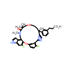 CN1Cc2c(c(F)cc3[nH]ccc23)Oc2ccc(F)c(c2)-c2ncc([nH]2)C(C)(c2cccc(CCC(=O)O)c2)CCCOCC(C)(C)C1=O